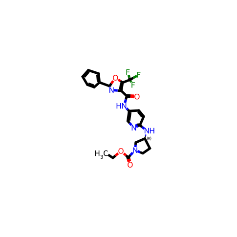 CCOC(=O)N1CC[C@@H](Nc2ccc(NC(=O)c3nc(-c4ccccc4)oc3C(F)(F)F)cn2)C1